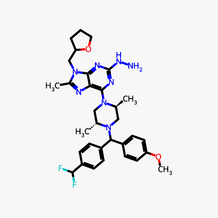 COc1ccc(C(c2ccc(C(F)F)cc2)N2C[C@H](C)N(c3nc(NN)nc4c3nc(C)n4CC3CCCO3)C[C@H]2C)cc1